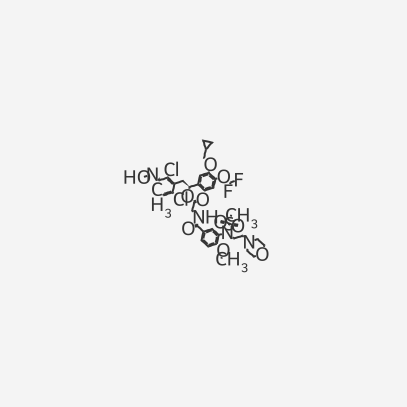 C\C=C(Cl)/C(C[C@H](OC(=O)CNC(=O)c1ccc(OC)c(N(CCN2CCOCC2)S(C)(=O)=O)c1)c1ccc(OC(F)F)c(OCC2CC2)c1)=C(Cl)\C=N\O